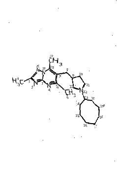 Cc1nc2nc(C)c(CC3CCN(C4CCCCCCC4)C3)c(C)n2n1